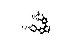 CN1CCC(c2ncc3ncnc(-c4ccc(F)c(Cl)c4)c3n2)CC1.NN